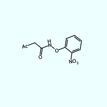 CC(=O)CC(=O)NOc1ccccc1[N+](=O)[O-]